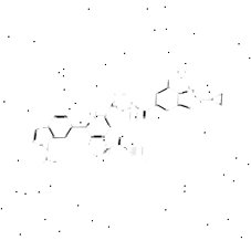 COc1cc(C(=O)NC[C@](O)(c2cc3c(c(-c4ccc5ccn(C(F)F)c5c4)n2)OC[C@]3(C)C(N)=O)C(F)(F)F)cc2cn(C3CC3)nc12